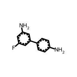 Nc1ccc(-c2cc(N)cc(F)c2)cc1